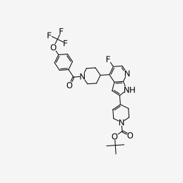 CC(C)(C)OC(=O)N1CC=C(c2cc3c(C4CCN(C(=O)c5ccc(OC(F)(F)F)cc5)CC4)c(F)cnc3[nH]2)CC1